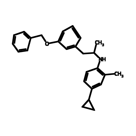 Cc1cc(C2CC2)ccc1NC(C)Cc1cccc(OCc2ccccc2)c1